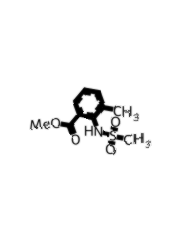 COC(=O)c1cccc(C)c1NS(C)(=O)=O